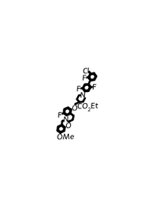 CCOC(=O)C1(COc2ccc(F)c3c2CCC(=O)N3Cc2ccc(OC)cc2)CCN(c2cc(F)c(-c3cccc(Cl)c3F)cc2F)CC1